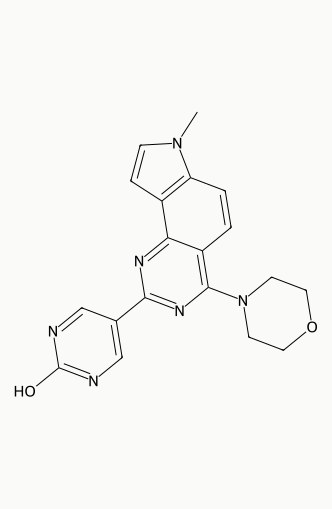 Cn1ccc2c3nc(-c4cnc(O)nc4)nc(N4CCOCC4)c3ccc21